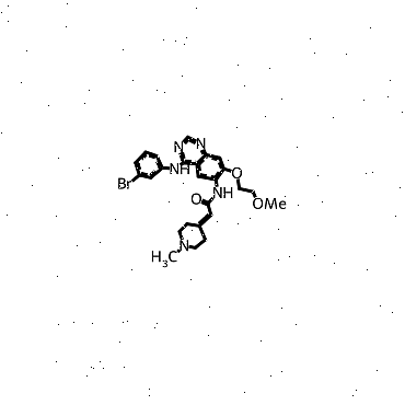 COCCOc1cc2ncnc(Nc3cccc(Br)c3)c2cc1NC(=O)C=C1CCN(C)CC1